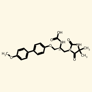 COc1ccc(-c2ccc(OC[C@H](CN3C(=O)NC(C)(C)C3=O)NC(=O)O)cc2)cc1